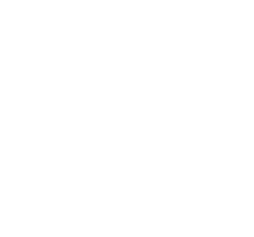 CC1CN(c2cccc(NS(=O)(=O)c3ccc(-c4ccc(Cl)s4)cc3)c2)CC(C)N1